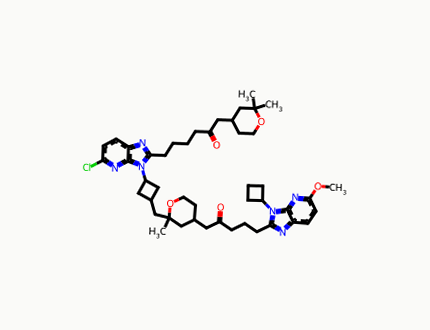 COc1ccc2nc(CCCC(=O)CC3CCOC(C)(CC4CC(n5c(CCCCC(=O)CC6CCOC(C)(C)C6)nc6ccc(Cl)nc65)C4)C3)n(C3CCC3)c2n1